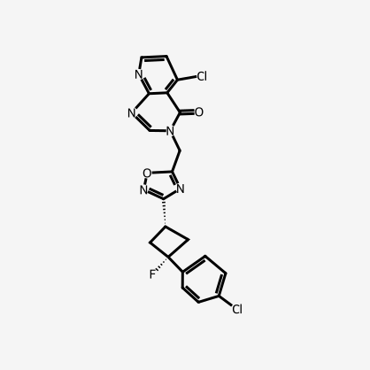 O=c1c2c(Cl)ccnc2ncn1Cc1nc([C@H]2C[C@](F)(c3ccc(Cl)cc3)C2)no1